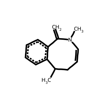 C=C1c2ccccc2C(C)C/C=C\N1C